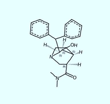 CN(C)C(=O)[C@H]1CN2CC[C@@H]1[C@H](O)[C@@H]2C(c1ccccc1)c1ccccc1